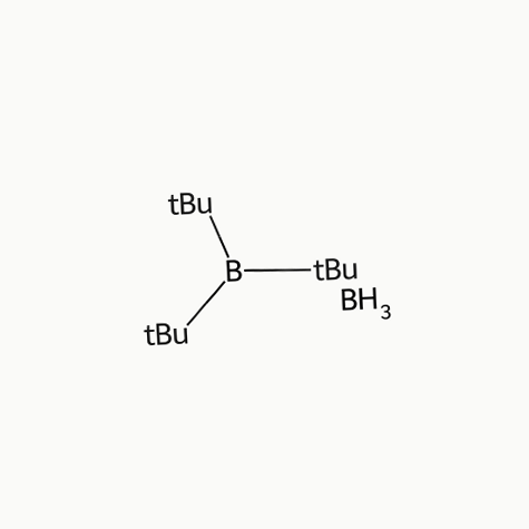 B.CC(C)(C)B(C(C)(C)C)C(C)(C)C